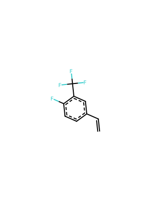 C=Cc1ccc(F)c(C(F)(F)F)c1